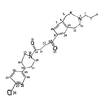 CCCN1CCc2ccc(C(=O)CCC(=O)N3CCC(c4ccc(Cl)cc4)CC3)cc2CC1